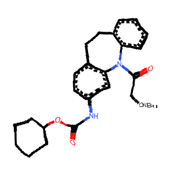 CC(C)COCC(=O)N1c2ccccc2CCc2ccc(NC(=O)OC3CCCCC3)cc21